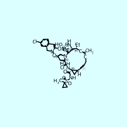 CC[C@@H]1C[C@H](C)CC/C=C\[C@@H]2C[C@@]2(C(=O)NS(=O)(=O)C2(C)CC2)NC(=O)[C@@H]2C[C@@H](ON3Cc4cc(Cl)ccc4C=C3OC)CN2C(=O)[C@H]1NC(=O)O